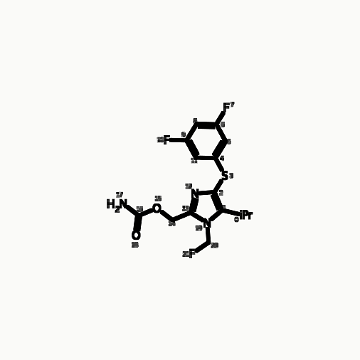 CC(C)c1c(Sc2cc(F)cc(F)c2)nc(COC(N)=O)n1CF